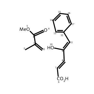 C=C(C)C(=O)OC.O=C(O)C=CC(O)=Cc1ccccc1